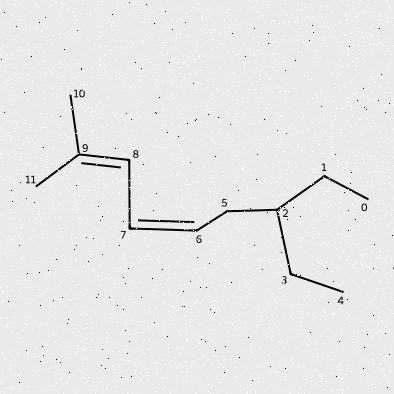 CCC(CC)C/C=C\C=C(C)C